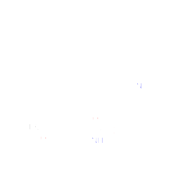 COc1ccc(NC(=O)Oc2ccc3c(c2)CCN3Cc2ccccc2)cc1